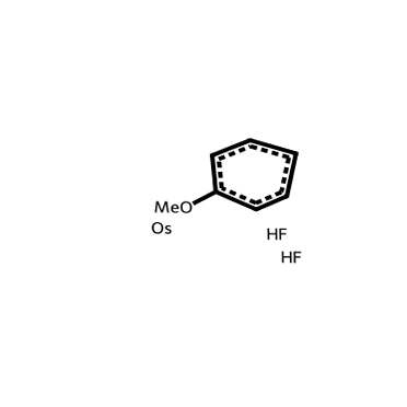 COc1ccccc1.F.F.[Os]